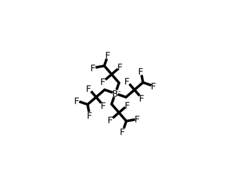 FC(F)C(F)(F)C[B-](CC(F)(F)C(F)F)(CC(F)(F)C(F)F)CC(F)(F)C(F)F